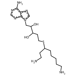 NCCCCCC(CCN)SCCC(O)C(O)Cn1cnc2c(N)ncnc21